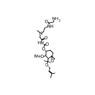 COC1C(OC(=O)NC(=O)CN(C)CCNC(=O)CN)CC[C@]2(CO2)C1C(C)(C)OCC=C(C)C